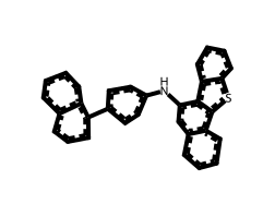 c1ccc2c(-c3ccc(Nc4cc5ccccc5c5sc6ccccc6c45)cc3)cccc2c1